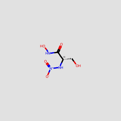 O=C(NO)[C@H](CO)N[N+](=O)[O-]